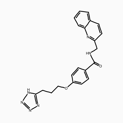 O=C(NCc1ccc2ccccc2n1)c1ccc(OCCCc2nnn[nH]2)cc1